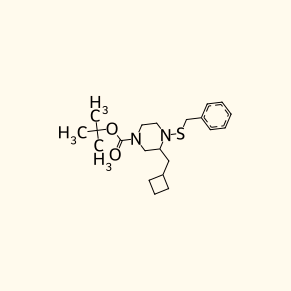 CC(C)(C)OC(=O)N1CCN(SCc2ccccc2)C(CC2CCC2)C1